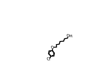 OCCCCCCCOc1ccc(Cl)cc1